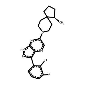 C[C@@H]1CCCC12CCN(c1cnc3c(-c4cccc(F)c4Cl)n[nH]c3n1)CC2